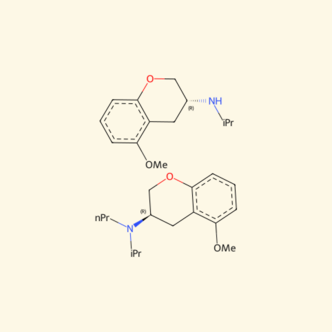 CCCN(C(C)C)[C@H]1COc2cccc(OC)c2C1.COc1cccc2c1C[C@@H](NC(C)C)CO2